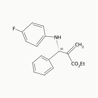 C=C(C(=O)OCC)[C@@H](Nc1ccc(F)cc1)c1ccccc1